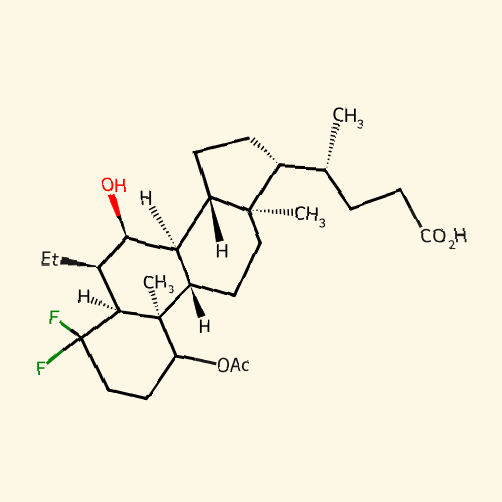 CC[C@H]1[C@@H](O)[C@H]2[C@@H]3CC[C@H]([C@H](C)CCC(=O)O)[C@@]3(C)CC[C@@H]2[C@@]2(C)C(OC(C)=O)CCC(F)(F)[C@@H]12